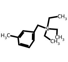 CC[Si](CC)(CC)Cc1cccc(C)c1